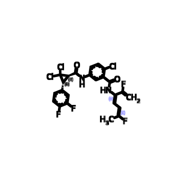 C=C(F)/C(=C\C=C(/C)F)NC(=O)c1cc(NC(=O)[C@H]2[C@H](c3ccc(F)c(F)c3)C2(Cl)Cl)ccc1Cl